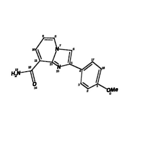 COc1ccc(-c2cn3cccc(C(N)=O)c3n2)cc1